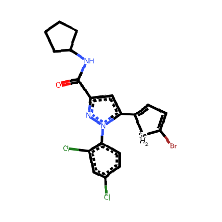 O=C(NC1CCCC1)c1cc(C2=CC=C(Br)[SeH2]2)n(-c2ccc(Cl)cc2Cl)n1